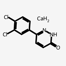 O=c1ccc(-c2ccc(Cl)c(Cl)c2)n[nH]1.[CaH2]